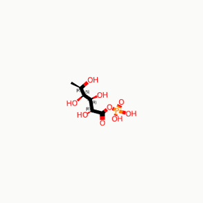 C[C@@H](O)[C@H](O)[C@@H](O)[C@@H](O)C(=O)OP(=O)(O)O